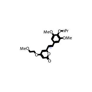 CCCOc1c(OC)cc(/C=C/c2cc(OCCOC)cc(=O)o2)cc1OC